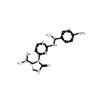 CC(C)COc1ccc([C@H](C)Nc2nccc(N3C(=O)OC[C@@H]3[C@@H](C)O)n2)cc1